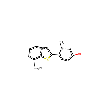 CCOC(=O)c1cccc2cc(-c3ccc(O)cc3C)sc12